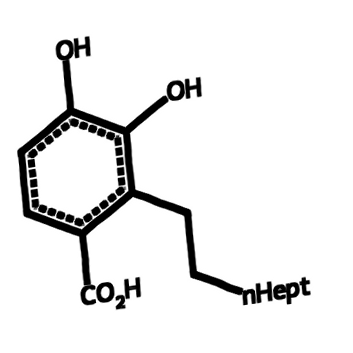 CCCCCCCCCc1c(C(=O)O)ccc(O)c1O